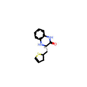 O=C1Nc2ccccc2N[C@H]1CC1CC=CS1